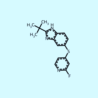 CC(C)(C)c1nc2cc(Sc3ccnc(F)c3)ccc2[nH]1